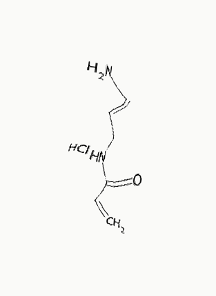 C=CC(=O)NCC=CN.Cl